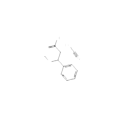 CC#N.O=C(O)CC(O[SiH3])c1ccccc1